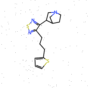 c1csc(CCCc2nsnc2C2CN3CCC2C3)c1